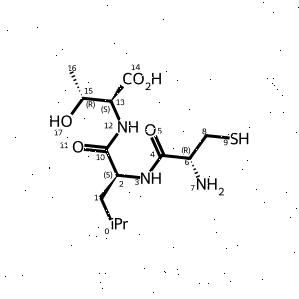 CC(C)C[C@H](NC(=O)[C@@H](N)CS)C(=O)N[C@H](C(=O)O)[C@@H](C)O